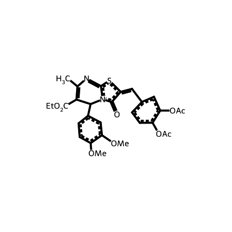 CCOC(=O)C1=C(C)N=c2sc(=Cc3ccc(OC(C)=O)c(OC(C)=O)c3)c(=O)n2C1c1ccc(OC)c(OC)c1